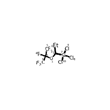 CCC(OC(F)(C(F)(F)F)C(F)(F)F)[Si](Cl)(Cl)Cl